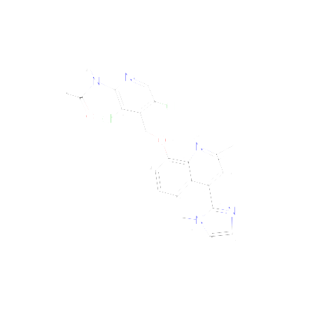 CC(=O)N(C)c1ncc(Cl)c(COc2cccc3c(-c4nccn4C)cc(C)nc23)c1Cl